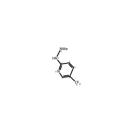 CNNc1ccc(C(F)(F)F)cn1